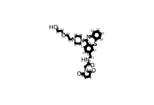 O=C(CN1C(=O)C=CC1=O)NCc1ccc2c(c1)Sc1ccccc1N=C2N1CCN(CCOCCO)CC1